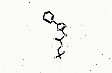 O=C(Nc1nnc(-c2ccccc2)s1)OCC(F)(F)F